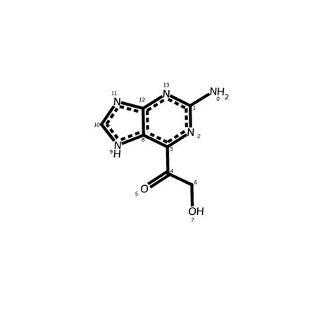 Nc1nc(C(=O)CO)c2[nH]cnc2n1